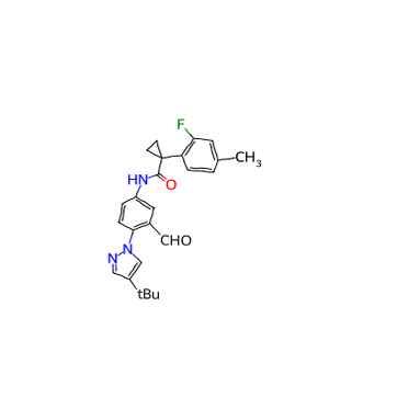 Cc1ccc(C2(C(=O)Nc3ccc(-n4cc(C(C)(C)C)cn4)c(C=O)c3)CC2)c(F)c1